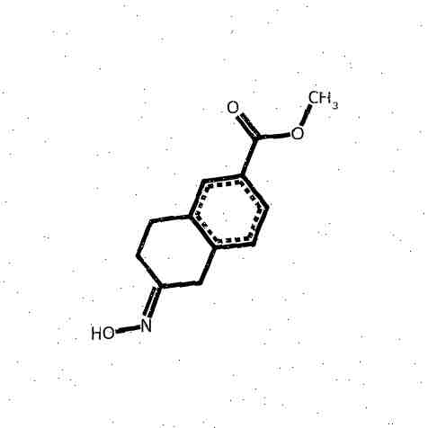 COC(=O)c1ccc2c(c1)CC/C(=N\O)C2